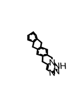 C1=C2Cc3cc4c(cc3CN2NN=N1)Cc1ccccc1C4